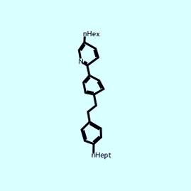 CCCCCCCc1ccc(CCc2ccc(-c3ccc(CCCCCC)cn3)cc2)cc1